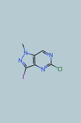 Cn1nc(I)c2nc(Cl)ncc21